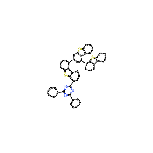 c1ccc(-c2nc(-c3ccccc3)nc(-c3cccc4c3sc3cccc(-c5cc(-c6cccc7c6sc6ccccc67)c6c(c5)sc5ccccc56)c34)n2)cc1